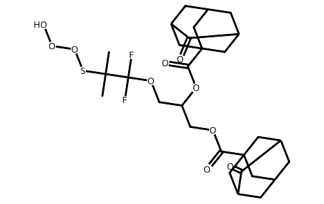 CC(C)(SOOO)C(F)(F)OCC(COC(=O)C12CC3CC(C1)C(=O)C(C3)C2)OC(=O)C12CC3CC(C1)C(=O)C(C3)C2